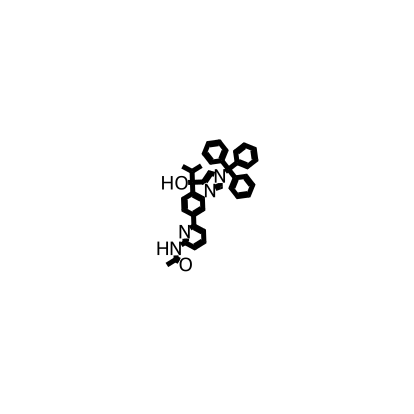 CC(=O)Nc1cccc(-c2ccc(C(O)(c3cn(C(c4ccccc4)(c4ccccc4)c4ccccc4)cn3)C(C)C)cc2)n1